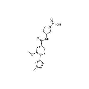 COc1cc(C(=O)NC2CCN(C(=O)O)C2)ccc1-c1cnn(C)c1